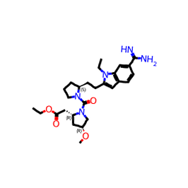 CCOC(=O)C[C@H]1C[C@@H](OC)CN1C(=O)N1CCC[C@H]1CCc1cc2ccc(C(=N)N)cc2n1CC